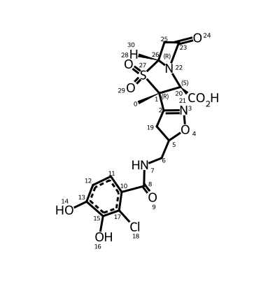 C[C@]1(C2=NOC(CNC(=O)c3ccc(O)c(O)c3Cl)C2)[C@H](C(=O)O)N2C(=O)C[C@H]2S1(=O)=O